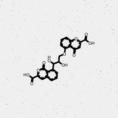 O=C(O)c1cc2cccc(C(O)C(O)COc3cccc4oc(C(=O)O)cc(=O)c34)c2c(=O)o1